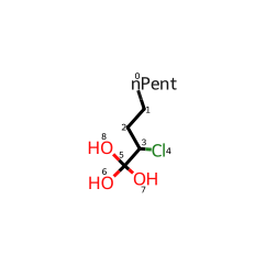 CCCCCCCC(Cl)C(O)(O)O